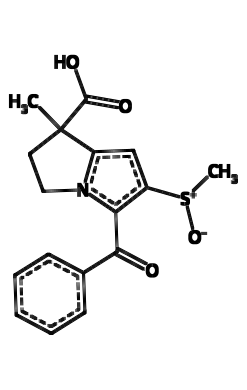 C[S+]([O-])c1cc2n(c1C(=O)c1ccccc1)CCC2(C)C(=O)O